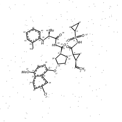 C=C[C@@H]1C[C@@]1(C(=O)NS(=O)(=O)C1CC1)N1C[C@H](Oc2ncc(OC)c3ccc(Cl)cc23)C[C@H]1C(=O)NC(=O)[C@@H](Nc1ccccc1F)C(C)(C)C